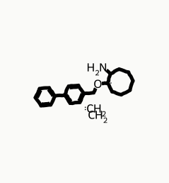 NC1CCCCCC[C]1OCc1ccc(-c2ccccc2)cc1.[CH2].[CH2]